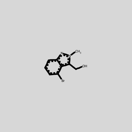 Cn1nc2cccc(Br)c2c1CO